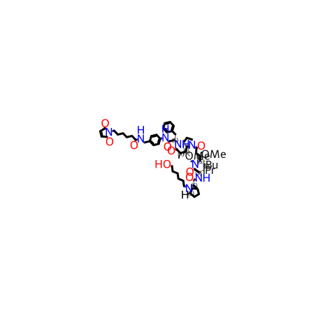 CC[C@H](C)[C@@H]([C@@H](CC(=O)N1CCC[C@H]1[C@H](OC)[C@@H](C)C(=O)N[C@@H](Cc1ccccc1)C(=O)Nc1ccc(CNC(=O)CCCCCN2C(=O)C=CC2=O)cc1)OC)N(C)C(=O)[C@@H](NC(=O)[C@@H]1C2CC[C@@H](C2)N1CCCCCCO)C(C)C